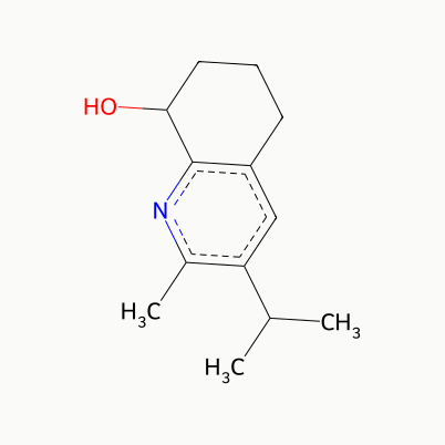 Cc1nc2c(cc1C(C)C)CCCC2O